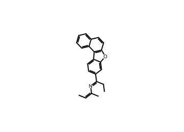 C/C=C(C)\N=C(/CC)c1ccc2c(c1)oc1ccc3ccccc3c12